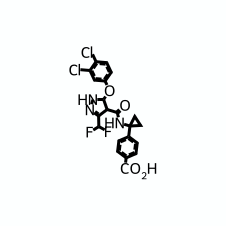 O=C(O)c1ccc(C2(NC(=O)C3C(C(F)F)=NNC3Oc3ccc(Cl)c(Cl)c3)CC2)cc1